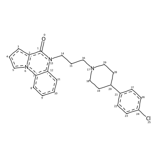 O=c1c2cccn2c2ccccc2n1CCCN1CCC(c2ccc(Cl)cc2)CC1